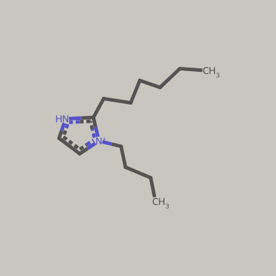 CCCCCCc1[nH]cc[n+]1CCCC